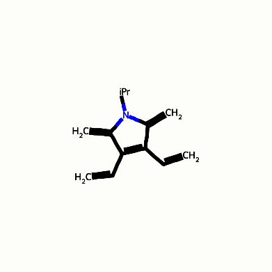 C=Cc1c(C=C)c(=C)n(C(C)C)c1=C